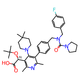 Cc1nc(C)c([C@H](OC(C)(C)C)C(=O)O)c(N2CCC(C)(C)CC2)c1-c1ccc(CN(Cc2ccc(F)cc2)C(=O)N2CCCC2)cc1